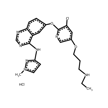 CCNCCCOc1cnc(Oc2ccc3ncnc(Nc4ccn(C)n4)c3c2)c(Cl)c1.Cl